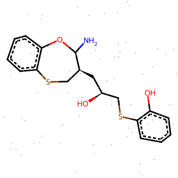 NC1Oc2ccccc2SC[C@@H]1C[C@H](O)CSc1ccccc1O